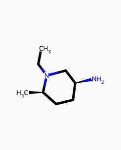 CCN1C[C@@H](N)CC[C@H]1C